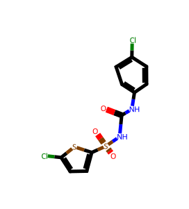 O=C(Nc1ccc(Cl)cc1)NS(=O)(=O)c1ccc(Cl)s1